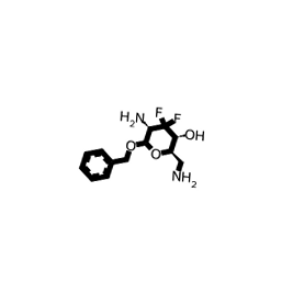 NC[C@H]1OC(OCc2ccccc2)[C@H](N)C(F)(F)[C@@H]1O